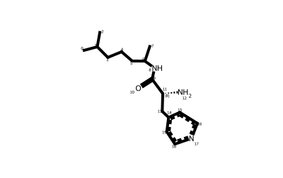 CC(C)CCCC(C)NC(=O)[C@H](N)Cc1ccncc1